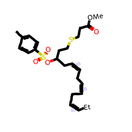 CC/C=C\C/C=C\C/C=C\CC(CCSCCC(=O)OC)OS(=O)(=O)c1ccc(C)cc1